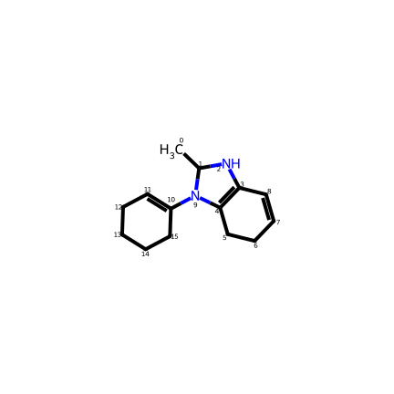 CC1NC2=C(CCC=C2)N1C1=CCCCC1